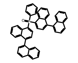 O=P(c1ccccc1)(c1ccc(-c2cccc3ccccc23)c2ccccc12)c1ccc(-c2cccc3ccccc23)c2ccccc12